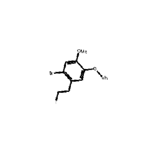 CCCOc1cc(CCI)c(Br)cc1OC